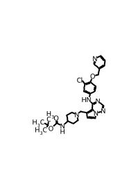 CC(C)(C)OC(=O)NC1CCN(Cc2ccn3ncnc(Nc4ccc(OCc5cccnc5)c(Cl)c4)c23)CC1